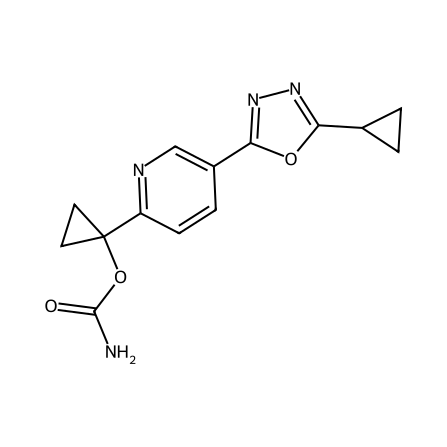 NC(=O)OC1(c2ccc(-c3nnc(C4CC4)o3)cn2)CC1